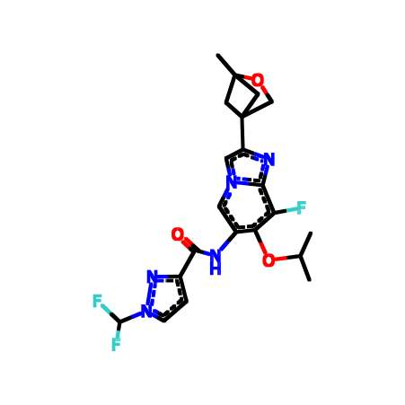 CC(C)Oc1c(NC(=O)c2ccn(C(F)F)n2)cn2cc(C34COC(C)(C3)C4)nc2c1F